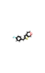 Fc1ccc(Cc2cc3c(s2)COCC3)cc1